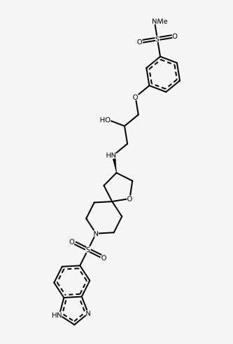 CNS(=O)(=O)c1cccc(OCC(O)CN[C@H]2COC3(CCN(S(=O)(=O)c4ccc5[nH]cnc5c4)CC3)C2)c1